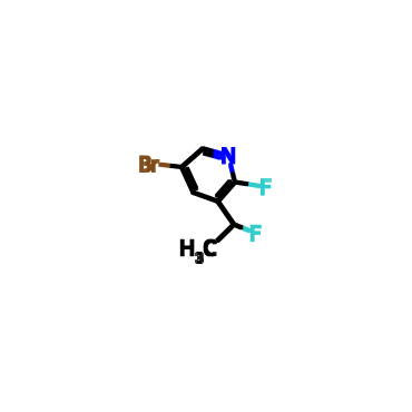 CC(F)c1cc(Br)cnc1F